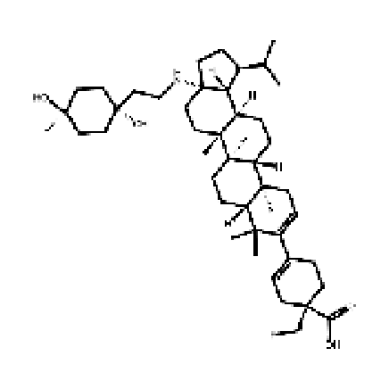 CC(C)[C@@H]1CC[C@]2(NCC[C@]3(O)CC[C@](C)(O)CC3)CC[C@]3(C)[C@H](CC[C@@H]4[C@@]5(C)CC=C(C6=CC[C@@](CF)(C(=O)O)CC6)C(C)(C)[C@@H]5CC[C@]43C)[C@@H]12